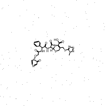 Cn1nnnc1SCC1=C(C(=O)O)N2C(=O)C(NC(=O)C(NC(=O)COn3ccncc3=O)c3ccccc3)[C@H]2SC1